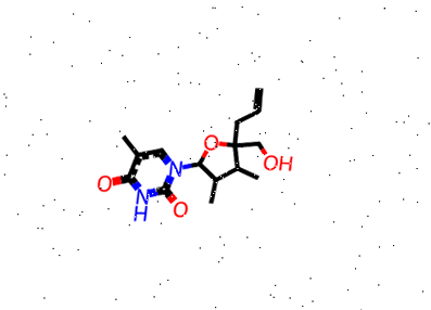 C=CCC1(CO)OC(n2cc(C)c(=O)[nH]c2=O)C(C)C1C